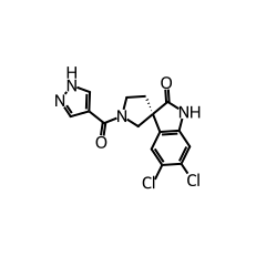 O=C(c1cn[nH]c1)N1CC[C@]2(C1)C(=O)Nc1cc(Cl)c(Cl)cc12